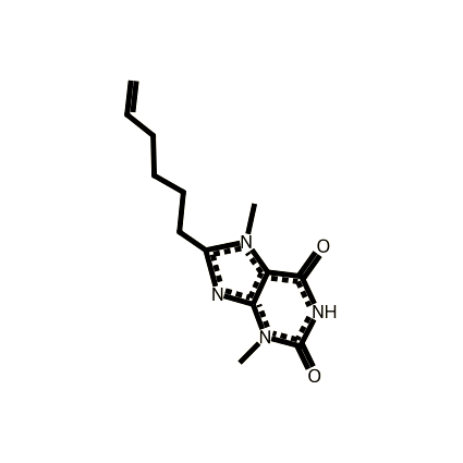 C=CCCCCc1nc2c(c(=O)[nH]c(=O)n2C)n1C